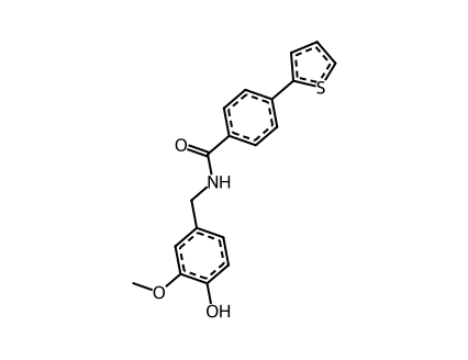 COc1cc(CNC(=O)c2ccc(-c3cccs3)cc2)ccc1O